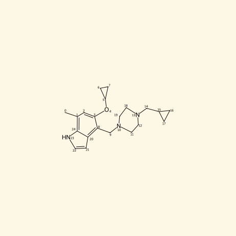 Cc1cc(OC2CC2)c(CN2CCN(CC3CC3)CC2)c2cc[nH]c12